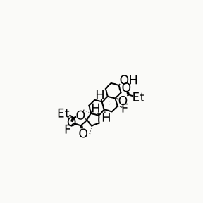 CCC(=O)O[C@]12C[C@@H](O)CC[C@]1(C)[C@H]1CC[C@@]3(C)[C@@H](C[C@H](C)[C@@]3(OC(=O)CC)C(=O)CF)[C@@H]1C[C@H]2F